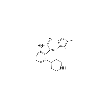 Cc1ccc(C=C2C(=O)Nc3cccc(C4CCNCC4)c32)s1